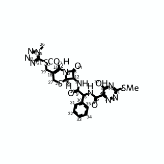 CSc1nnc(C(=O)NC(C(=O)NC2C(=O)N3C(C(=O)O)=C(CSc4nnnn4C)CS[C@@H]23)c2ccccc2)c(O)n1